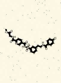 COC(=O)CNC(=O)c1ccc(C(=O)NS(=O)(=O)c2cccc(CCNC(=O)c3ccc(Cl)cc3)c2)cn1